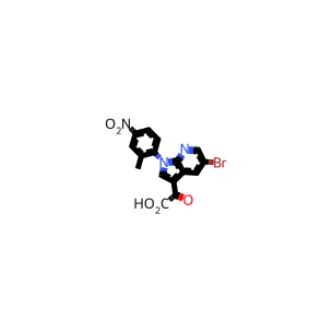 Cc1cc([N+](=O)[O-])ccc1-n1cc(C(=O)C(=O)O)c2cc(Br)cnc21